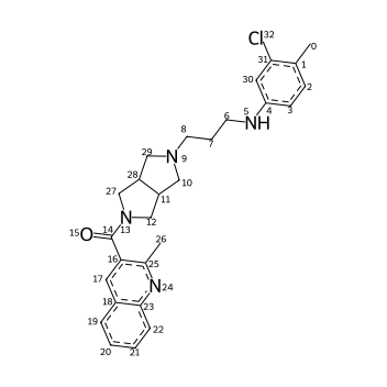 Cc1ccc(NCCCN2CC3CN(C(=O)c4cc5ccccc5nc4C)CC3C2)cc1Cl